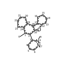 Cc1c(-c2cccn[n+]2C)c2oc3ccccc3c2c2ccccc12